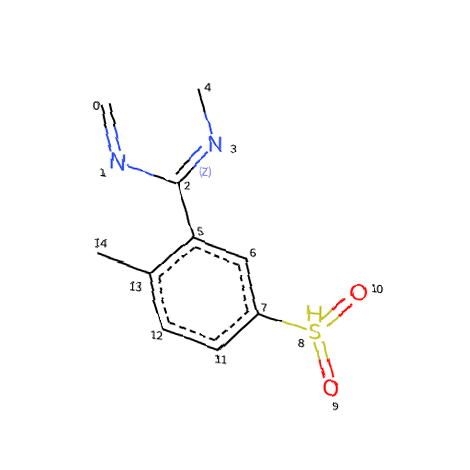 C=N/C(=N\C)c1cc([SH](=O)=O)ccc1C